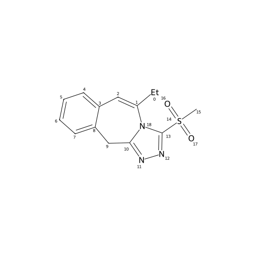 CCC1=Cc2ccccc2Cc2nnc(S(C)(=O)=O)n21